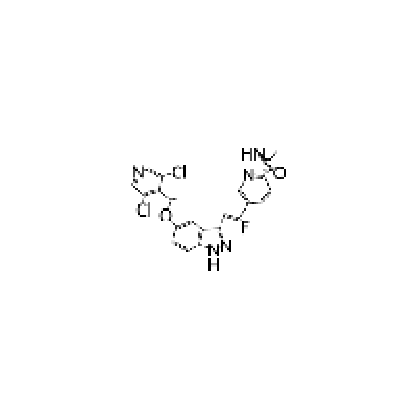 CC(Oc1ccc2[nH]nc(/C=C(\F)c3ccc(S(C)(=N)=O)nc3)c2c1)c1c(Cl)cncc1Cl